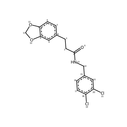 O=C(CCc1ccc2c(c1)OCO2)NCc1ccc(Cl)c(Cl)c1